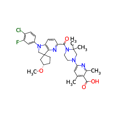 CO[C@H]1CCC2(C1)CN(c1ccc(Cl)c(F)c1)c1ccc(C(=O)N3CCN(c4cc(C)c(C(=O)O)c(C)n4)CC3(C)C)nc12